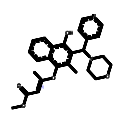 COC(=O)/C=C(\C)Oc1c(C)c(C(c2ccncc2)N2CCOCC2)c(O)c2ccccc12